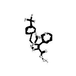 COC(=O)C1=C(c2cccnc2)[N+](Cc2ccc(C(F)(F)F)cc2)(C(N)=O)N=N1